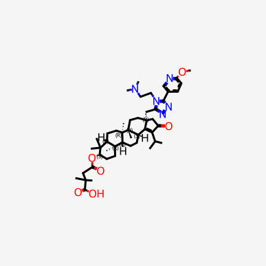 COc1ccc(-c2nnc(C[C@@]34CC[C@]5(C)[C@H](CC[C@@H]6[C@@]7(C)CC[C@H](OC(=O)CC(C)(C)C(=O)O)C(C)(C)[C@@H]7CC[C@]65C)C3=C(C(C)C)C(=O)C4)n2CCN(C)C)cn1